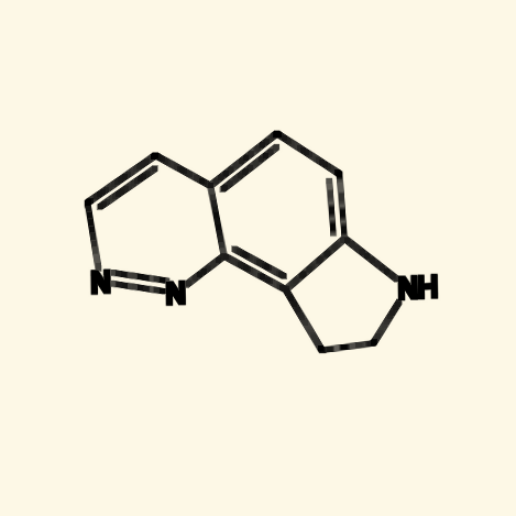 c1cc2ccc3c(c2nn1)CCN3